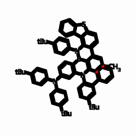 Cc1cc2c3c(c1)N(c1ccc(C(C)(C)C)cc1-c1ccccc1)c1cc(N(c4ccc(C(C)(C)C)cc4)c4ccc(C(C)(C)C)cc4)ccc1B3N(c1ccc(C(C)(C)C)cc1)c1c-2ccc2sc3ccccc3c12